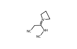 N#CCC(NC#N)=[N+]1CCC1